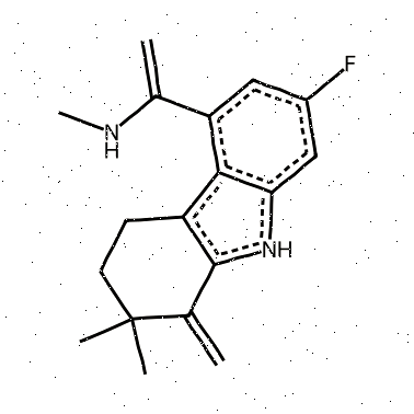 C=C(NC)c1cc(F)cc2[nH]c3c(c12)CCC(C)(C)C3=C